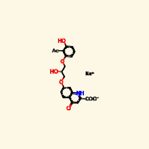 CC(=O)c1c(O)cccc1OCC(O)COc1ccc2c(=O)cc(C(=O)[O-])[nH]c2c1.[Na+]